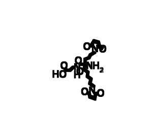 NC(CCCCN1C(=O)C=CC1=O)(C(=O)CCCCCN1C(=O)C=CC1=O)C(=O)NCCC(=O)O